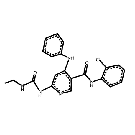 CCNC(=O)Nc1cc(Nc2ccccc2)c(C(=O)Nc2ccccc2Cl)cn1